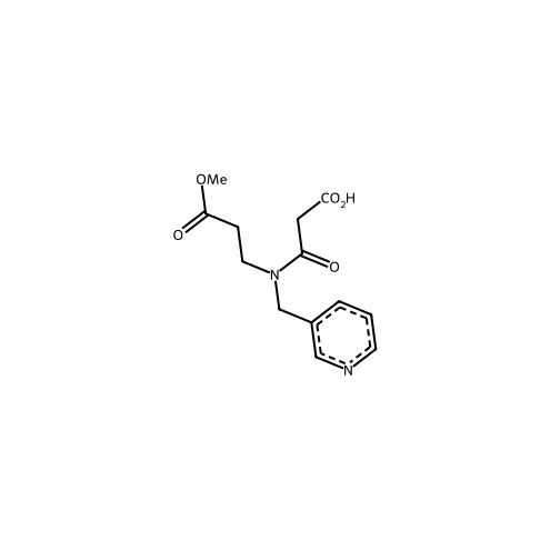 COC(=O)CCN(Cc1cccnc1)C(=O)CC(=O)O